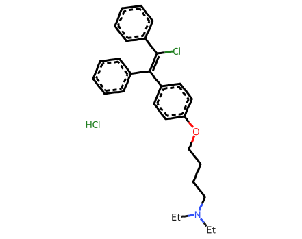 CCN(CC)CCCCOc1ccc(C(=C(Cl)c2ccccc2)c2ccccc2)cc1.Cl